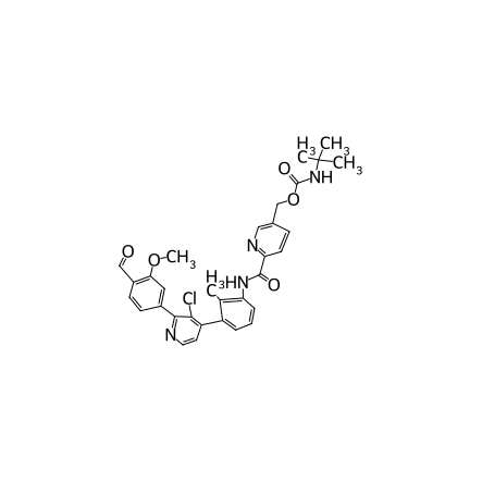 COc1cc(-c2nccc(-c3cccc(NC(=O)c4ccc(COC(=O)NC(C)(C)C)cn4)c3C)c2Cl)ccc1C=O